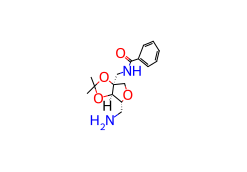 CC1(C)O[C@@H]2[C@@H](CN)OC[C@]2(CNC(=O)c2ccccc2)O1